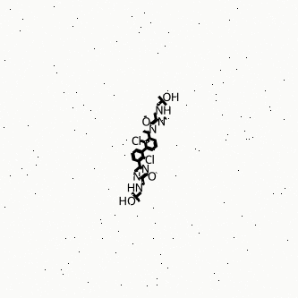 C=N/C(CNCC(C)(C)O)=C(\N=C(/C)c1cccc(-c2cccc(-c3cnc(CNCC(C)(C)O)c(OC)n3)c2Cl)c1Cl)OC